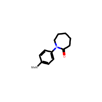 CNc1ccc(N2CCCCCC2=O)cc1